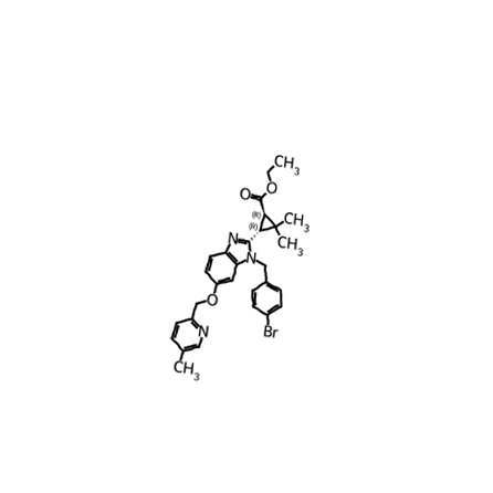 CCOC(=O)[C@@H]1[C@@H](c2nc3ccc(OCc4ccc(C)cn4)cc3n2Cc2ccc(Br)cc2)C1(C)C